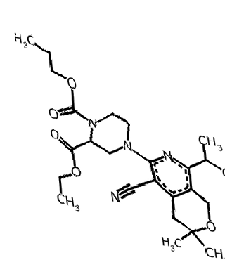 CCCOC(=O)N1CCN(c2nc(C(C)C)c3c(c2C#N)CC(C)(C)OC3)CC1C(=O)OCC